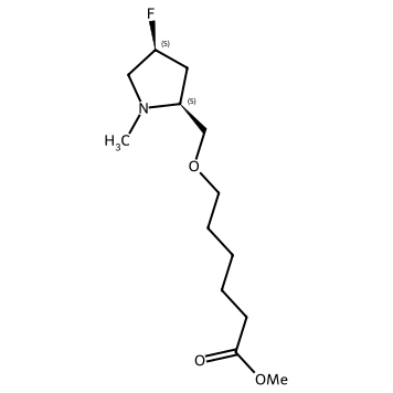 COC(=O)CCCCCOC[C@@H]1C[C@H](F)CN1C